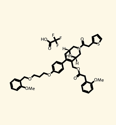 COc1ccccc1COCCCOc1ccc(C2=C(COC(=O)Cc3ccccc3OC)[C@H]3CN(C(=O)Cc4cccs4)C[C@@H](C2)N3)cc1.O=C(O)C(F)(F)F